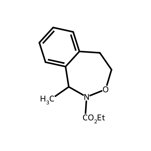 CCOC(=O)N1OCCc2ccccc2C1C